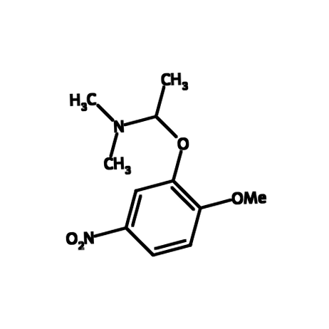 COc1ccc([N+](=O)[O-])cc1OC(C)N(C)C